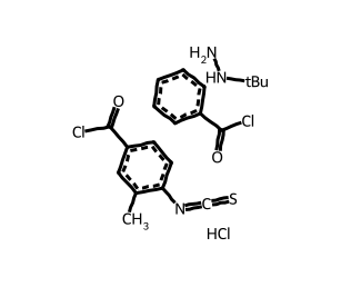 CC(C)(C)NN.Cc1cc(C(=O)Cl)ccc1N=C=S.Cl.O=C(Cl)c1ccccc1